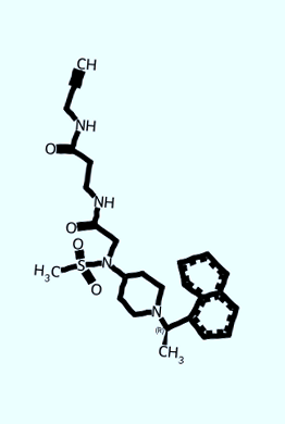 C#CCNC(=O)CCNC(=O)CN(C1CCN([C@H](C)c2cccc3ccccc23)CC1)S(C)(=O)=O